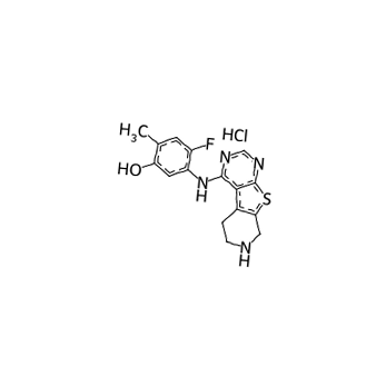 Cc1cc(F)c(Nc2ncnc3sc4c(c23)CCNC4)cc1O.Cl